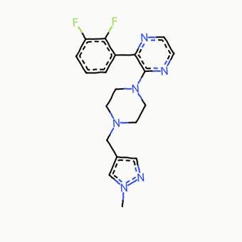 Cn1cc(CN2CCN(c3nccnc3-c3cccc(F)c3F)CC2)cn1